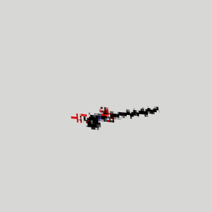 CCCCCCCCCCCCCOC(=O)/C=C/c1cccc(O)c1